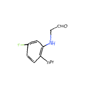 CCCc1ccc(F)cc1NCC=O